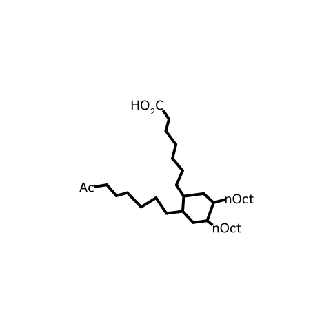 CCCCCCCCC1CC(CCCCCCC(C)=O)C(CCCCCCC(=O)O)CC1CCCCCCCC